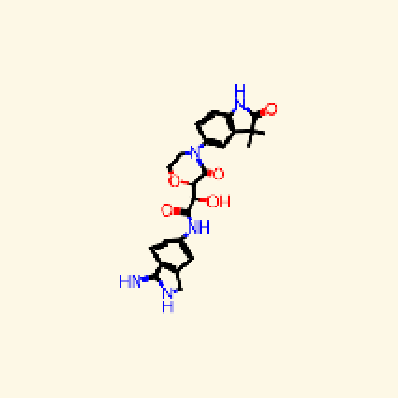 CC1(C)C(=O)Nc2ccc(N3CCO[C@H]([C@@H](O)C(=O)Nc4ccc5c(c4)CNC5=N)C3=O)cc21